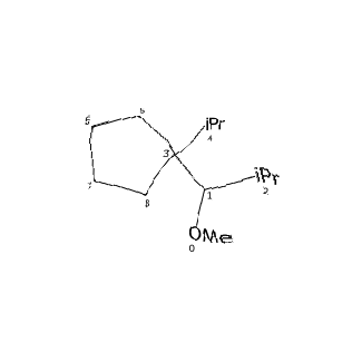 COC(C(C)C)C1(C(C)C)CCCC1